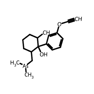 C#COc1cccc(C2(O)C(C)CCCC2C[As](C)C)c1